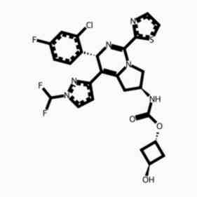 O=C(N[C@H]1CC2=C(c3ccn(C(F)F)n3)[C@H](c3ccc(F)cc3Cl)N=C(c3nccs3)N2C1)O[C@H]1C[C@H](O)C1